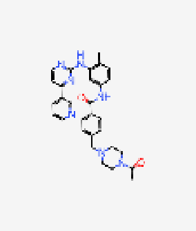 CC(=O)N1CCN(Cc2ccc(C(=O)Nc3ccc(C)c(Nc4nccc(-c5cccnc5)n4)c3)cc2)CC1